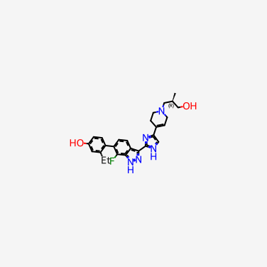 CCc1cc(O)ccc1-c1ccc2c(-c3nc(C4=CCN(C[C@@H](C)CO)CC4)c[nH]3)n[nH]c2c1F